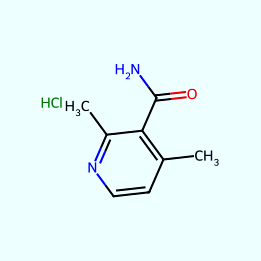 Cc1ccnc(C)c1C(N)=O.Cl